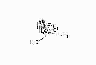 CCCCCCCCC1=C(CCCCCC)C(CC)=C(C2(C(=O)[NH][Ti+2])CCCCC2[SiH](C)C)C1C.[Cl-].[Cl-]